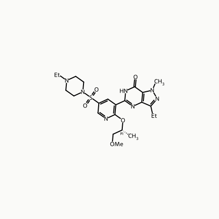 CCc1nn(C)c2c(=O)[nH]c(-c3cc(S(=O)(=O)N4CCN(CC)CC4)cnc3O[C@H](C)COC)nc12